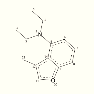 CCN(CC)c1cccc2occ(C)c12